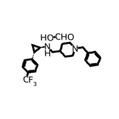 FC(F)(F)c1ccc([C@@H]2C[C@H]2NCC2CCN(Cc3ccccc3)CC2)cc1.O=CO